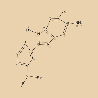 CCn1c(-c2cccc(C(F)F)c2)nc2cc(N)c(C)cc21